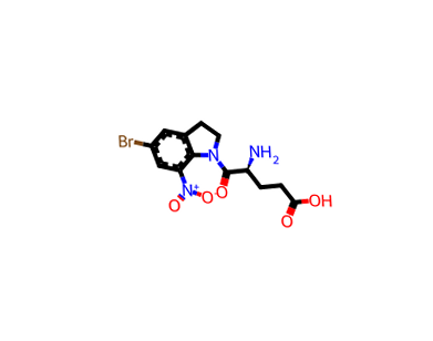 N[C@@H](CCC(=O)O)C(=O)N1CCc2cc(Br)cc([N+](=O)[O-])c21